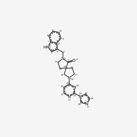 O=C1N(Cc2c[nH]c3ccccc23)CCC12CCN(c1ccnc(-n3ccnc3)n1)C2